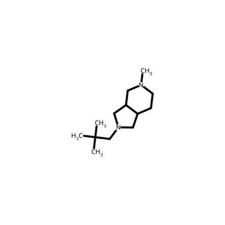 CN1CCC2CN(CC(C)(C)C)CC2C1